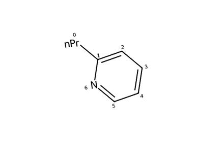 CCCc1ccccn1